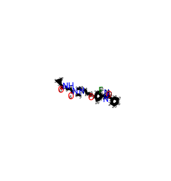 O=C(NCCC(=O)N1CCN(CCCOc2ccc(-c3noc(-c4ccccc4)n3)c(F)c2)CC1)C1CC1